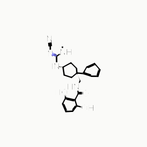 CN/C(=N\C#N)N[C@H]1CC[C@](CNC(=O)c2c(O)cccc2O)(c2ccccc2)CC1